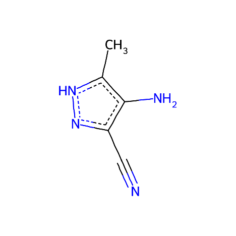 Cc1[nH]nc(C#N)c1N